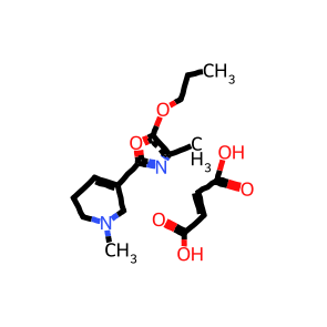 CCCOc1oc(C2=CCCN(C)C2)nc1C.O=C(O)C=CC(=O)O